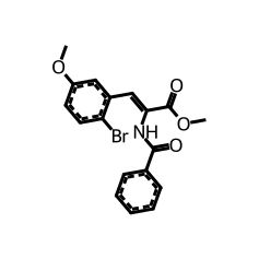 COC(=O)C(=Cc1cc(OC)ccc1Br)NC(=O)c1ccccc1